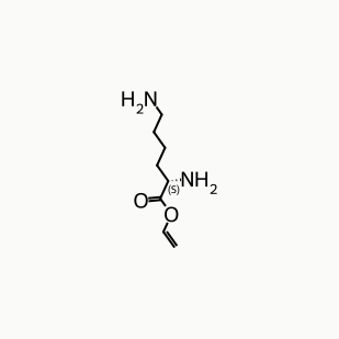 C=COC(=O)[C@@H](N)CCCCN